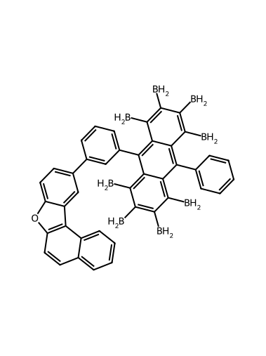 Bc1c(B)c(B)c2c(-c3cccc(-c4ccc5oc6ccc7ccccc7c6c5c4)c3)c3c(B)c(B)c(B)c(B)c3c(-c3ccccc3)c2c1B